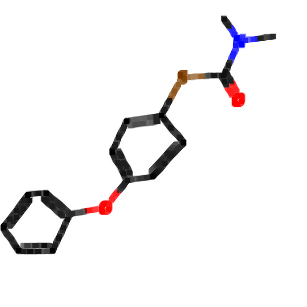 CN(C)C(=O)Sc1ccc(Oc2ccccc2)cc1